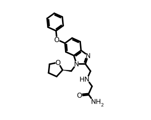 NC(=O)CNCc1nc2ccc(Oc3ccccc3)cc2n1C[C@H]1CCCO1